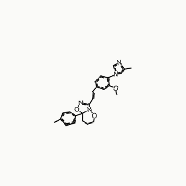 COc1cc(/C=C/C2=NOC3(c4ccc(C)cc4)CCCON23)ccc1-n1cnc(C)c1